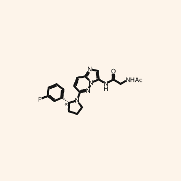 CC(=O)NCC(=O)Nc1cnc2ccc(N3CCC[C@@H]3c3cccc(F)c3)nn12